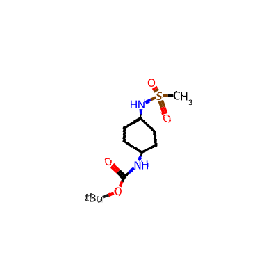 CC(C)(C)OC(=O)N[C@H]1CC[C@@H](NS(C)(=O)=O)CC1